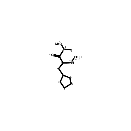 CON(C)C(=O)C(CC1CCCC1)NC(=O)O